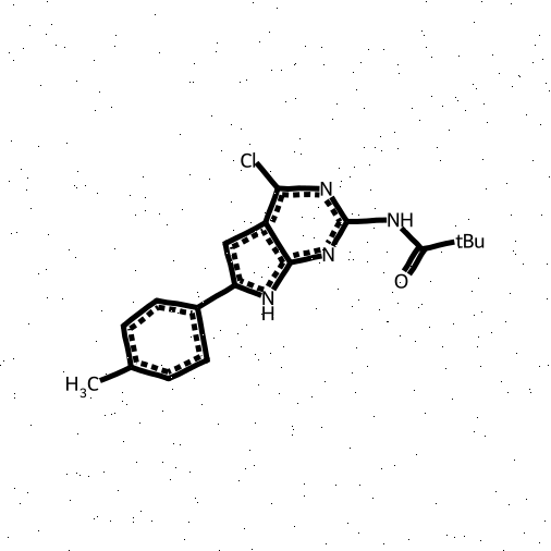 Cc1ccc(-c2cc3c(Cl)nc(NC(=O)C(C)(C)C)nc3[nH]2)cc1